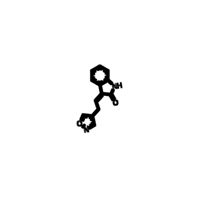 O=C1Nc2ccccc2C1=CCc1cnoc1